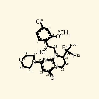 COc1cc(Cl)ccc1[C@@H](O)CN1c2nc(N3CCOCC3)cc(=O)n2CCC1C(F)(F)F